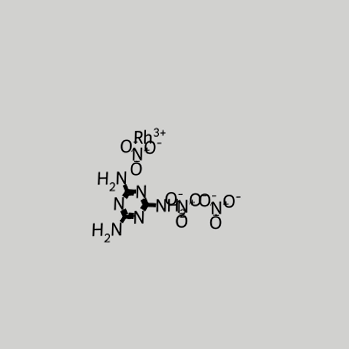 Nc1nc(N)nc(N)n1.O=[N+]([O-])[O-].O=[N+]([O-])[O-].O=[N+]([O-])[O-].[Rh+3]